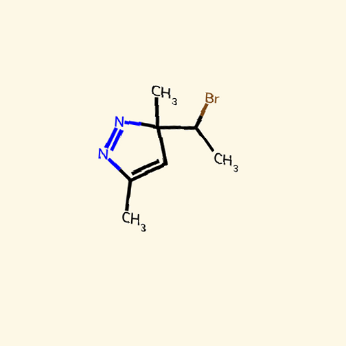 CC1=CC(C)(C(C)Br)N=N1